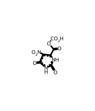 O=C(O)OC(=O)c1[nH]c(=O)[nH]c(=O)c1[N+](=O)[O-]